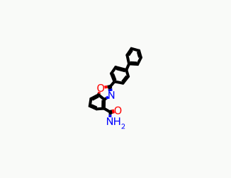 NC(=O)c1cccc2oc(-c3ccc(-c4ccccc4)cc3)nc12